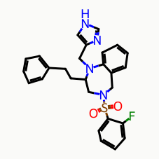 O=S(=O)(c1ccccc1F)N1Cc2ccccc2N(Cc2c[nH]cn2)C(CCc2ccccc2)C1